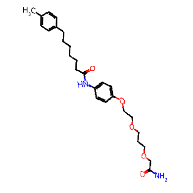 Cc1ccc(CCCCCCC(=O)Nc2ccc(OCCOCCCOCC(N)=O)cc2)cc1